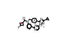 O=C(N(CC12CCC(c3nc(C4CC4)no3)(CC1)CC2)c1cccc(-c2nccc(C(F)(F)F)n2)c1)C12CC(F)(C1)C2